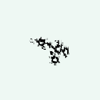 Nc1nc(-c2cnccn2)nc(Nc2ccccc2)c1/N=N/c1ccc([N+](=O)[O-])cc1Cl